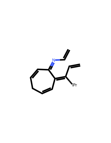 C=C/N=C1/C=CCC=C/C1=C(/C=C)C(C)C